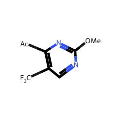 COc1ncc(C(F)(F)F)c(C(C)=O)n1